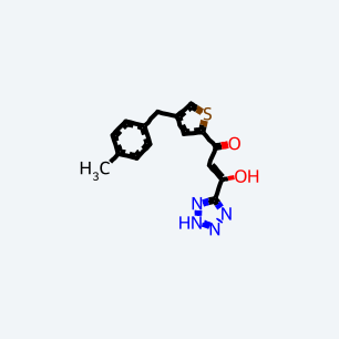 Cc1ccc(Cc2csc(C(=O)C=C(O)c3nn[nH]n3)c2)cc1